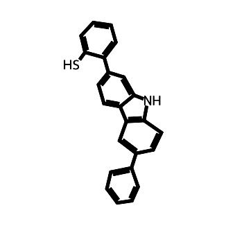 Sc1ccccc1-c1ccc2c(c1)[nH]c1ccc(-c3ccccc3)cc12